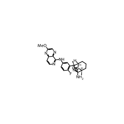 COc1cnc2c(Nc3ccc(F)c([C@@]4(C)N=C(N)[C@@]5(C)CCC[C@@H]4S5(=O)=O)c3)nccc2n1